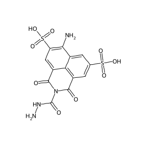 NNC(=O)N1C(=O)c2cc(S(=O)(=O)O)cc3c(N)c(S(=O)(=O)O)cc(c23)C1=O